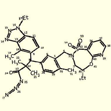 CC[C@@H]1CN(Cc2cc(C(c3ccc4c(nnn4CC)c3C)C(C)(C)C(=O)N=[N+]=[N-])ccc2C)S(=O)(=O)c2cccnc2O1